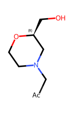 CC(=O)CN1CCO[C@@H](CO)C1